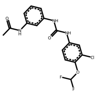 CC(=O)Nc1cccc(NC(=O)Nc2ccc(OC(F)F)c(Cl)c2)c1